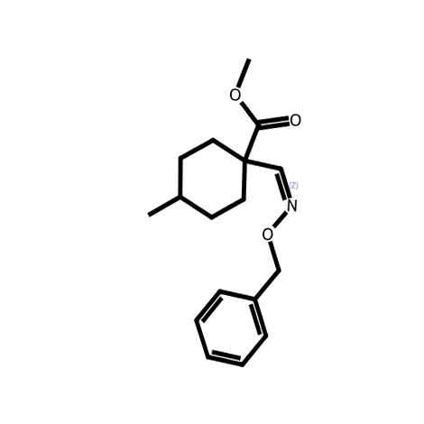 COC(=O)C1(/C=N\OCc2ccccc2)CCC(C)CC1